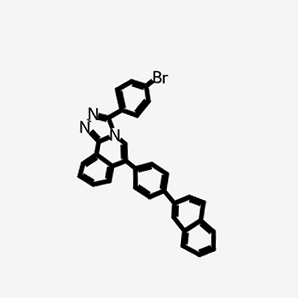 Brc1ccc(-c2nnc3c4ccccc4c(-c4ccc(-c5ccc6ccccc6c5)cc4)cn23)cc1